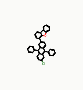 Clc1ccc2c(-c3ccccc3)c3cc(-c4cccc5c4oc4ccccc45)ccc3c(-c3ccccc3)c2c1